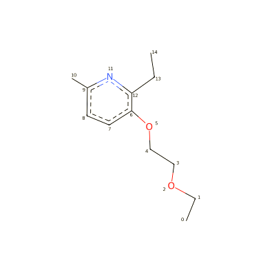 CCOCCOc1ccc(C)nc1CC